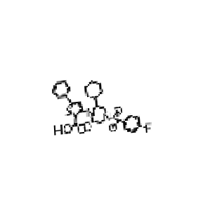 O=C(O)c1sc(-c2ccccc2)cc1N1C(=O)CN(S(=O)(=O)c2ccc(F)cc2)CC1C1CCCCC1